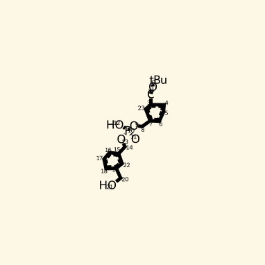 CC(C)(C)OCc1cccc(COP(=O)(O)OCc2cccc(CO)c2)c1